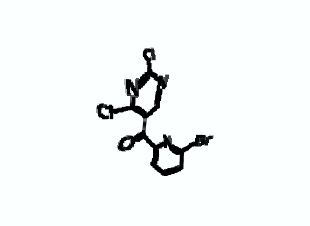 O=C(c1cccc(Br)n1)c1cnc(Cl)nc1Cl